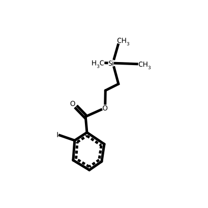 C[Si](C)(C)CCOC(=O)c1ccccc1I